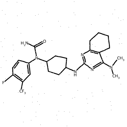 CN(C)c1nc(NC2CCC(N(C(N)=O)c3ccc(F)c(C(F)(F)F)c3)CC2)nc2c1CCCC2